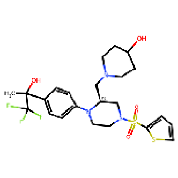 CC(O)(c1ccc(N2CCN(S(=O)(=O)c3cccs3)C[C@@H]2CN2CCC(O)CC2)cc1)C(F)(F)F